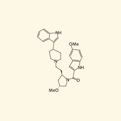 COc1ccc2[nH]c(C(=O)N3C[C@H](OC)C[C@H]3CCN3CCC(c4c[nH]c5ccccc45)CC3)cc2c1